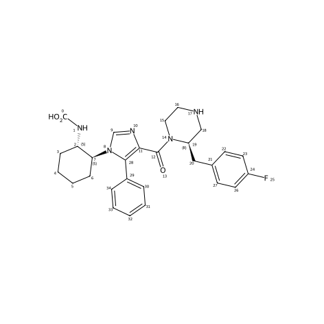 O=C(O)N[C@H]1CCCC[C@@H]1n1cnc(C(=O)N2CCNC[C@H]2Cc2ccc(F)cc2)c1-c1ccccc1